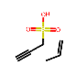 C#CCS(=O)(=O)O.C=CC